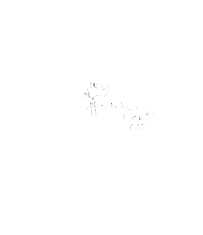 COc1cc(CNC(=O)c2c(C)oc3ncnc(NC4(C)CC4)c23)ccc1OC(C)C